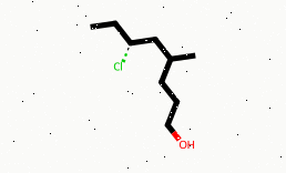 CC[C@@H](Cl)CC(C)CCCO